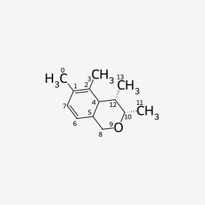 CC1=C(C)C2C(C=C1)CO[C@@H](C)[C@H]2C